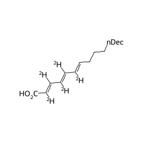 [2H]C(=CCCCCCCCCCCCCC)C([2H])=C([2H])C([2H])=C([2H])C(=O)O